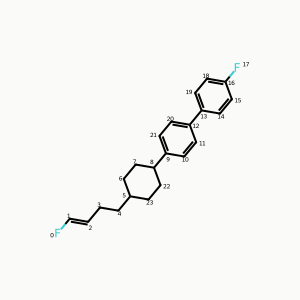 F/C=C/CCC1CCC(c2ccc(-c3ccc(F)cc3)cc2)CC1